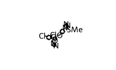 CSc1nncn1-c1ccc(OC[C@@H]2CO[C@@](Cn3ccnc3)(c3ccc(Cl)cc3Cl)O2)cc1